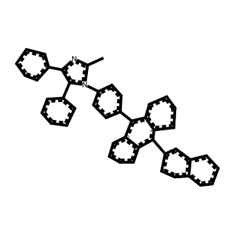 Cc1nc(-c2ccccc2)c(-c2ccccc2)n1-c1ccc(-c2c3ccccc3c(-c3ccc4ccccc4c3)c3ccccc23)cc1